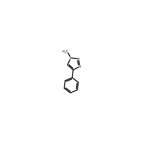 [CH2]n1cc(-c2ccccc2)nn1